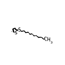 CCCCCCCCCCCCSc1cc[c]s1